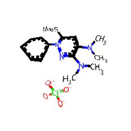 CSc1cc(N(C)C)c(N(C)C)n[n+]1-c1ccccc1.[O-][Cl+3]([O-])([O-])[O-]